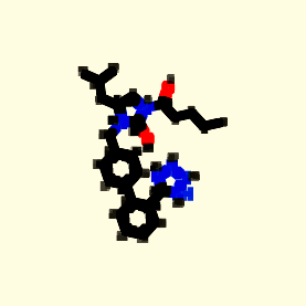 CCCCC(=O)n1cc(CC(C)C)n(Cc2ccc(-c3ccccc3-c3nnn[nH]3)cc2)c1=O